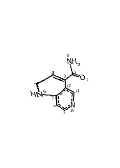 NC(=O)C1=CCNc2ccncc21